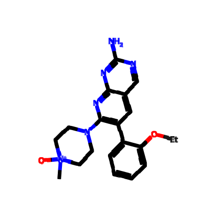 CCOc1ccccc1-c1cc2cnc(N)nc2nc1N1CC[N+](C)([O-])CC1